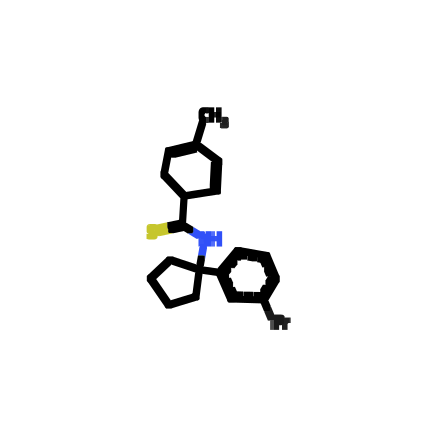 CC1=CCC(C(=S)NC2(c3cccc(C(C)C)c3)CCCC2)C=C1